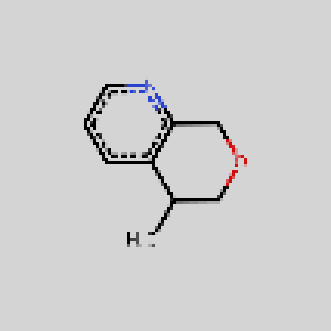 CC1COCc2ncccc21